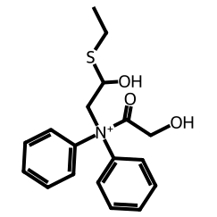 CCSC(O)C[N+](C(=O)CO)(c1ccccc1)c1ccccc1